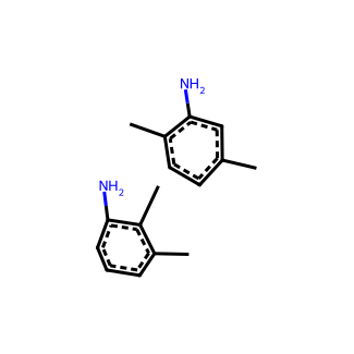 Cc1ccc(C)c(N)c1.Cc1cccc(N)c1C